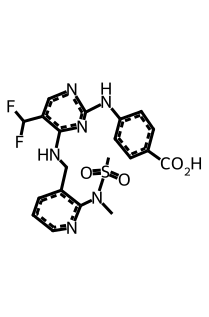 CN(c1ncccc1CNc1nc(Nc2ccc(C(=O)O)cc2)ncc1C(F)F)S(C)(=O)=O